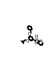 c1ccc(COc2cc(OCC3CC3)cc(-c3nc4cccnc4[nH]3)c2)cc1